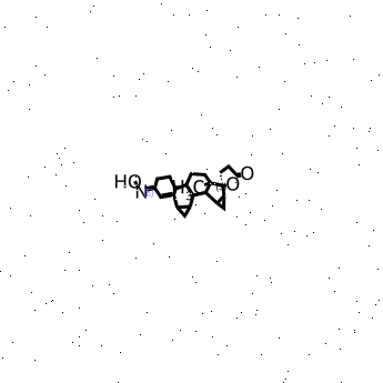 CC12CCC3C4CC/C(=N\O)C=C4C4CC4C3C1C1CC1[C@@]21CCC(=O)O1